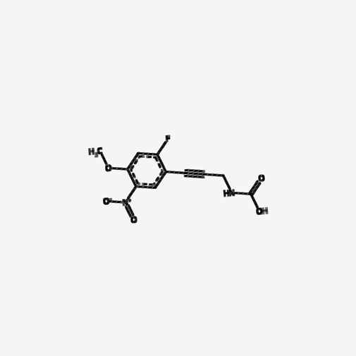 COc1cc(F)c(C#CCNC(=O)O)cc1[N+](=O)[O-]